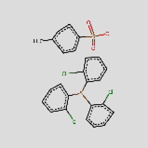 Cc1ccc(S(=O)(=O)[O-])cc1.Clc1ccccc1[S+](c1ccccc1Cl)c1ccccc1Cl